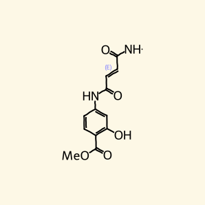 COC(=O)c1ccc(NC(=O)/C=C/C([NH])=O)cc1O